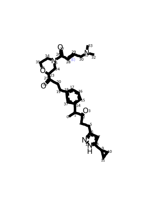 CC(C(=O)CCc1cc(C2CC2)[nH]n1)c1cccc(CCC(=O)C2CN(C(=O)/C=C/CN(C)C)CCO2)c1